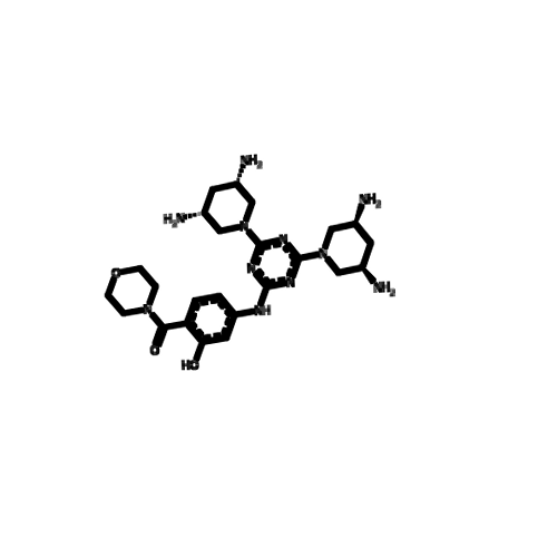 N[C@@H]1C[C@H](N)CN(c2nc(Nc3ccc(C(=O)N4CCOCC4)c(O)c3)nc(N3C[C@H](N)C[C@H](N)C3)n2)C1